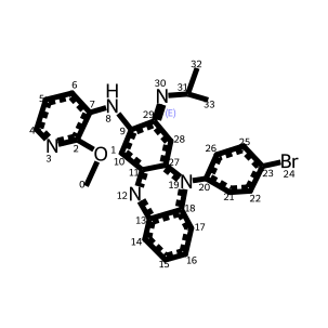 COc1ncccc1Nc1cc2nc3ccccc3n(-c3ccc(Br)cc3)c-2c/c1=N\C(C)C